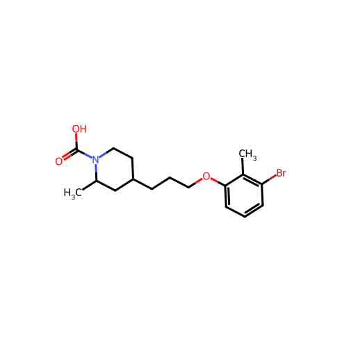 Cc1c(Br)cccc1OCCCC1CCN(C(=O)O)C(C)C1